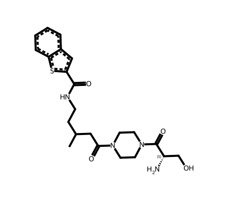 CC(CCNC(=O)c1cc2ccccc2s1)CC(=O)N1CCN(C(=O)[C@@H](N)CO)CC1